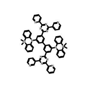 C[Si]1(C)c2ccccc2N(c2cc(-c3cc(-c4nc(-c5cccnc5)nc(-c5ccccn5)n4)cc(N4c5ccccc5[Si](C)(C)c5ccccc54)c3)cc(-c3nc(-c4cccnc4)nc(-c4ccccn4)n3)c2)c2ccccc21